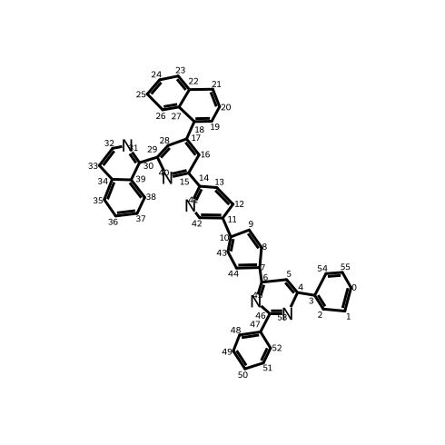 c1ccc(-c2cc(-c3ccc(-c4ccc(-c5cc(-c6cccc7ccccc67)cc(-c6nccc7ccccc67)n5)nc4)cc3)nc(-c3ccccc3)n2)cc1